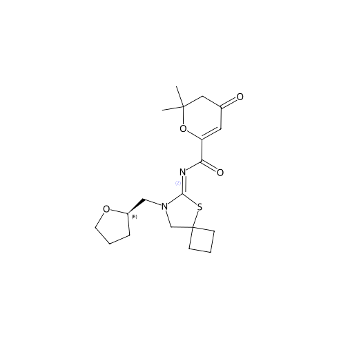 CC1(C)CC(=O)C=C(C(=O)/N=C2\SC3(CCC3)CN2C[C@H]2CCCO2)O1